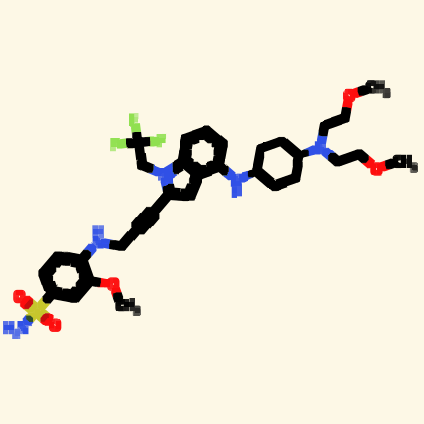 COCCN(CCOC)[C@H]1CC[C@@H](Nc2cccc3c2cc(C#CCNc2ccc(S(N)(=O)=O)cc2OC)n3CC(F)(F)F)CC1